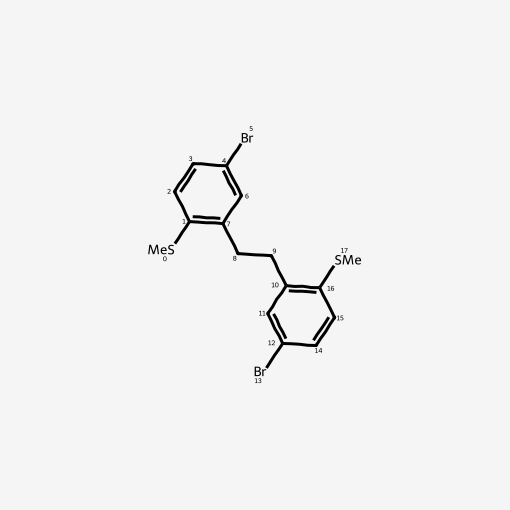 CSc1ccc(Br)cc1CCc1cc(Br)ccc1SC